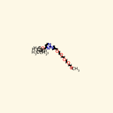 COCCOCCOCCOCCOCC1CN(c2nccc(CO[Si](C)(C)C(C)(C)C)n2)C1